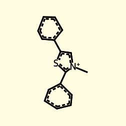 C[n+]1cc(-c2ccccc2)sc1-c1ccccc1